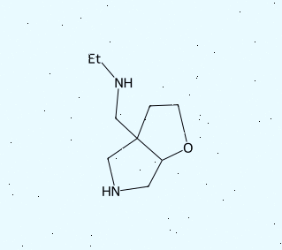 CCNCC12CCOC1CNC2